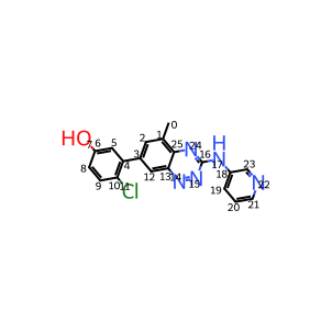 Cc1cc(-c2cc(O)ccc2Cl)cc2nnc(Nc3cccnc3)nc12